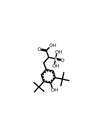 CC(C)(C)c1cc(CC(C(=O)O)P(=O)(O)O)cc(C(C)(C)C)c1O